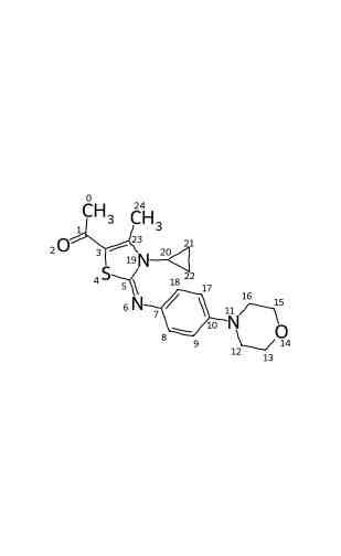 CC(=O)c1sc(=Nc2ccc(N3CCOCC3)cc2)n(C2CC2)c1C